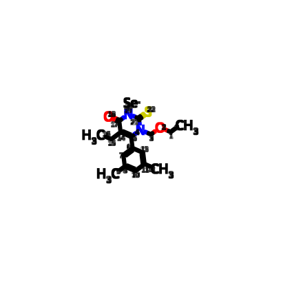 CCOCn1c(-c2cc(C)cc(C)c2)c(CC)c(=O)n([Se])c1=S